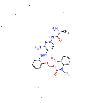 C[C@H](N)C(=O)Nc1ccc(/N=N/c2ccccc2OCOC(=O)N(C)c2ccccc2CO)c(N)n1